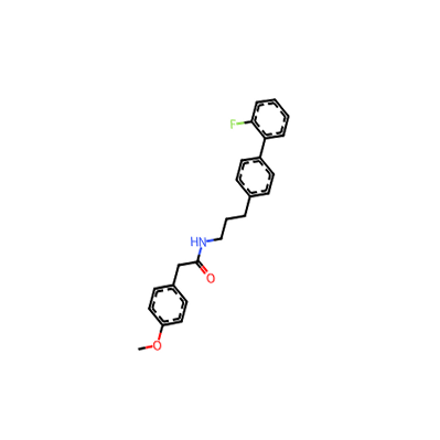 COc1ccc(CC(=O)NCCCc2ccc(-c3ccccc3F)cc2)cc1